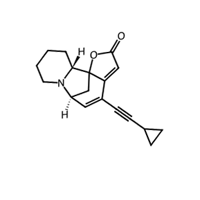 O=C1C=C2C(C#CC3CC3)=C[C@@H]3CC2(O1)[C@H]1CCCCN31